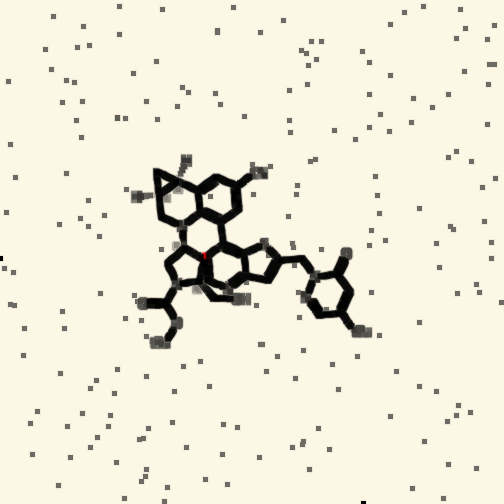 CC(C)(C)OC(=O)N1C[C@@H](N2C[C@H]3C[C@H]3c3cc(C#N)cc(-c4ccnc5cc(Cn6ncc(C(C)(C)C)cc6=O)sc45)c32)C[C@H]1CO